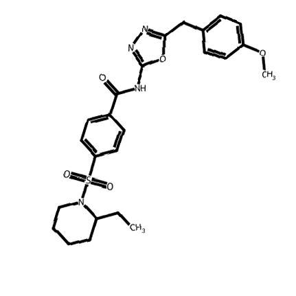 CCC1CCCCN1S(=O)(=O)c1ccc(C(=O)Nc2nnc(Cc3ccc(OC)cc3)o2)cc1